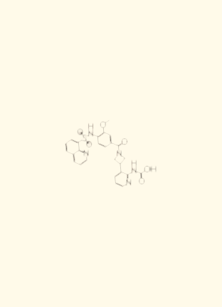 COc1cc(C(=O)N2CC(c3cccnc3NC(=O)O)C2)ccc1NS(=O)(=O)c1cccc2cccnc12